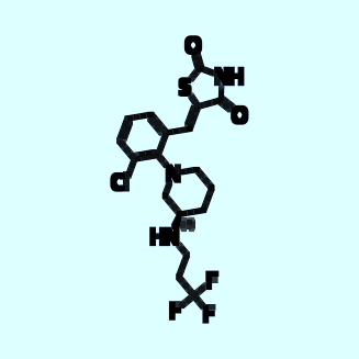 O=C1NC(=O)C(=Cc2cccc(Cl)c2N2CCC[C@@H](NCCC(F)(F)F)C2)S1